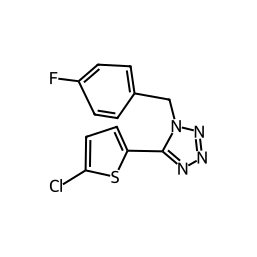 Fc1ccc(Cn2nnnc2-c2ccc(Cl)s2)cc1